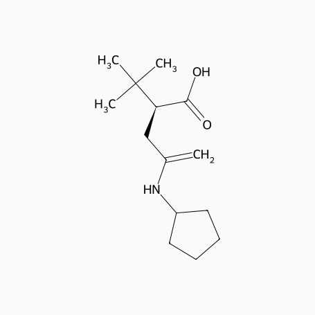 C=C(C[C@H](C(=O)O)C(C)(C)C)NC1CCCC1